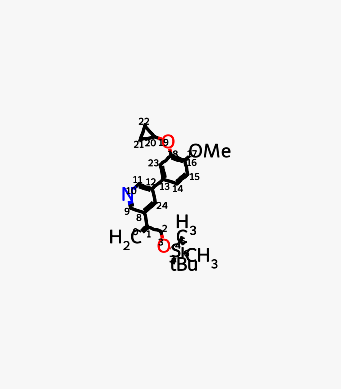 C=C(CO[Si](C)(C)C(C)(C)C)c1cncc(-c2ccc(OC)c(OC3CC3)c2)c1